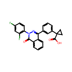 O=C(O)C1(c2cccc(-c3nn(-c4ccc(F)cc4F)c(=O)c4ccccc34)c2)CC1